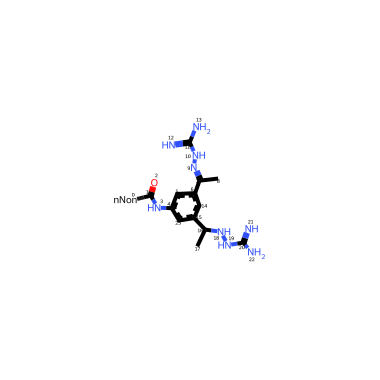 CCCCCCCCCC(=O)Nc1cc(/C(C)=N/NC(=N)N)cc(C(C)NNC(=N)N)c1